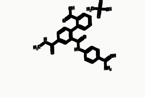 CNC(=O)c1ccc(-c2ccccc2C(=O)O)c(C(=O)Nc2ccc(C(=N)N)cc2)c1.CS(=O)(=O)O